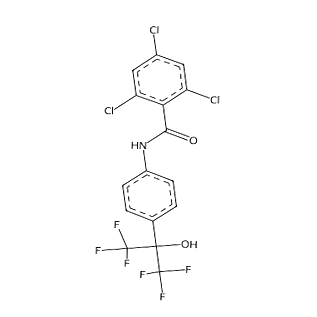 O=C(Nc1ccc(C(O)(C(F)(F)F)C(F)(F)F)cc1)c1c(Cl)cc(Cl)cc1Cl